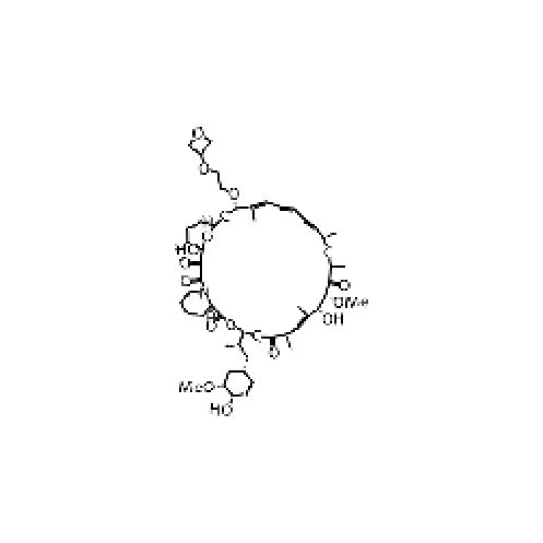 CO[C@@H]1C[C@H](C[C@@H](C)[C@@H]2CC(=O)[C@H](C)/C=C(\C)[C@@H](O)[C@@H](OC)C(=O)[C@H](C)C[C@H](C)/C=C/C=C/C=C(\C)[C@@H](OCCOC3COC3)C[C@@H]3CC[C@@H](C)[C@@](O)(O3)C(=O)C(=O)N3CCCC[C@H]3C(=O)O2)CC[C@H]1O